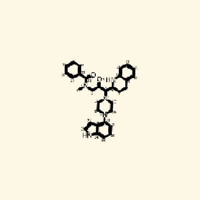 CN(CC(=O)C(C1CCc2ccccc2N1)N1CCN(c2cccc3[nH]ccc23)CC1)C(=O)c1ccccc1